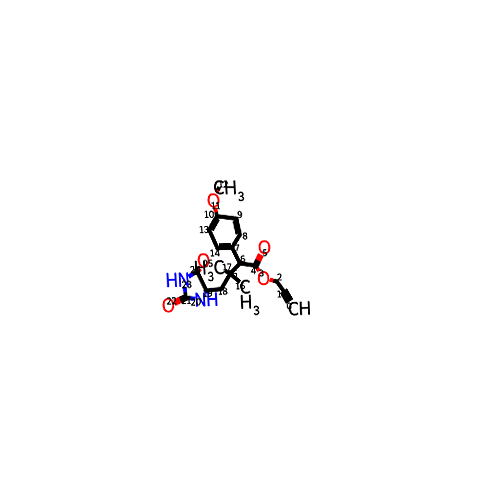 C#CCOC(=O)C(c1ccc(OC)cc1)C(C)(C)CC1NC(=O)NC1=O